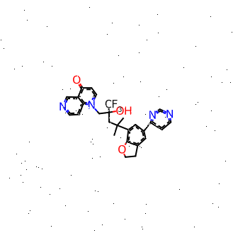 CC(C)(CC(O)(Cn1ccc(=O)c2cnccc21)C(F)(F)F)c1cc(-c2ccncn2)cc2c1OCC2